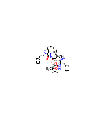 CC[C@H](C)[C@H](NCCc1ccccc1)C(=O)NC(=O)[C@@H](C[C@H](N)[C@H](CC1CCCCC1)NC(=O)OC(C)(C)C)C(C)C